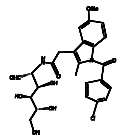 COc1ccc2c(c1)c(CC(=O)N[C@@H](C=O)[C@@H](O)[C@H](O)[C@H](O)CO)c(C)n2C(=O)c1ccc(Cl)cc1